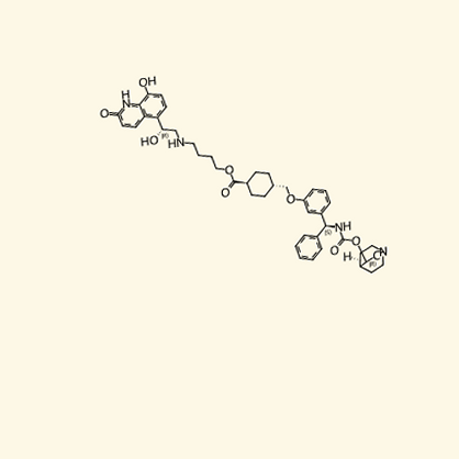 O=C(N[C@@H](c1ccccc1)c1cccc(OC[C@H]2CC[C@H](C(=O)OCCCCNC[C@H](O)c3ccc(O)c4[nH]c(=O)ccc34)CC2)c1)O[C@H]1CN2CCC1CC2